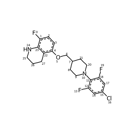 Fc1ccc(OCC2CCN(c3c(F)cc(Cl)cc3F)CC2)c2c1NCCC2